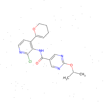 CC(C)Oc1ncc(C(=O)Nc2c(C3=CCCCO3)ccnc2Cl)cn1